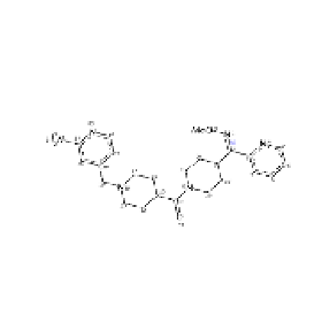 CO/N=C(/c1ccccn1)C1CCN(C(=O)C2CCN(Cc3ccnc(N)c3)CC2)CC1